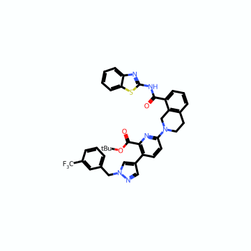 CC(C)(C)OC(=O)c1nc(N2CCc3cccc(C(=O)Nc4nc5ccccc5s4)c3C2)ccc1-c1cnn(Cc2cccc(C(F)(F)F)c2)c1